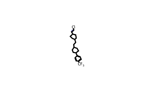 FC(F)(F)c1ccc(C2CCC(CCC3CCC(/C=C/Cl)CC3)CC2)cc1